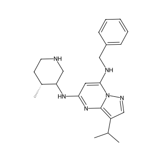 CC(C)c1cnn2c(NCc3ccccc3)cc(NC3CNCC[C@H]3C)nc12